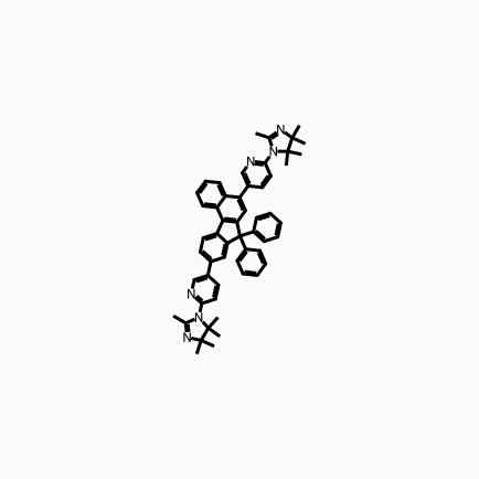 CC1=NC(C)(C)C(C)(C)N1c1ccc(-c2ccc3c(c2)C(c2ccccc2)(c2ccccc2)c2cc(-c4ccc(N5C(C)=NC(C)(C)C5(C)C)nc4)c4ccccc4c2-3)cn1